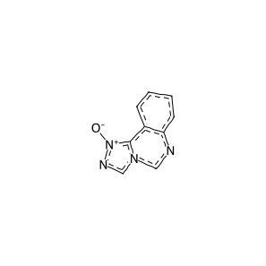 [O-][n+]1ncn2cnc3ccccc3c21